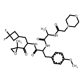 COc1ccc(CC(NC(=O)C(C)NC(=O)CN2CCOCC2)C(=O)NC(CC2CC(F)(F)C2)C(=O)C2(C)CO2)cc1